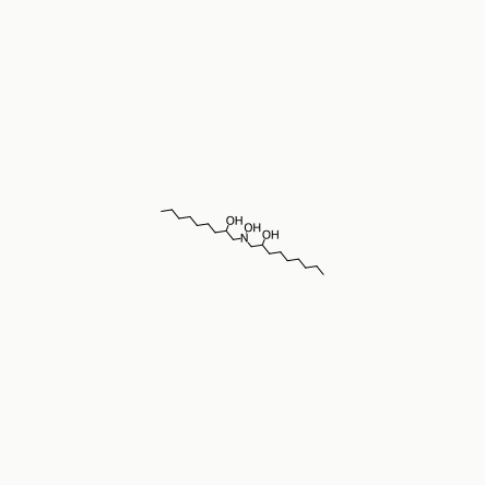 CCCCCCCC(O)CN(O)CC(O)CCCCCCC